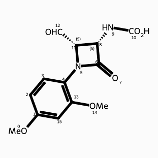 COc1ccc(N2C(=O)[C@@H](NC(=O)O)[C@H]2C=O)c(OC)c1